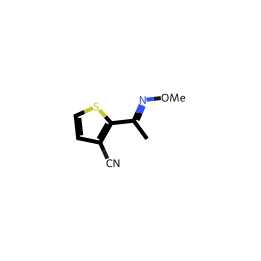 CON=C(C)c1sccc1C#N